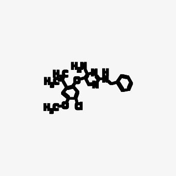 COc1cc(C(C)C)c(Oc2cnc(NCc3ccccc3)nc2N)cc1Cl